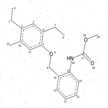 CCc1cc(CC)c(OCc2ccccc2NC(=O)OC)cc1C